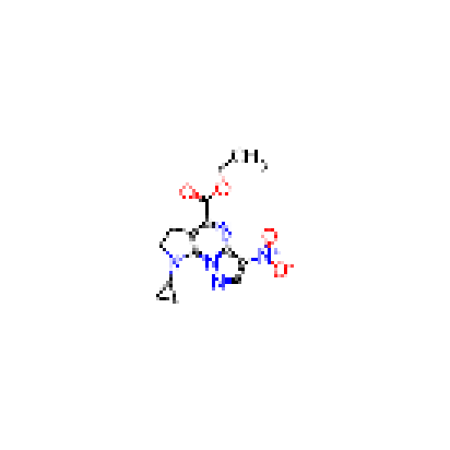 CCOC(=O)c1nc2c([N+](=O)[O-])cnn2c2c1CCN2C1CC1